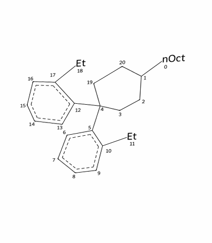 CCCCCCCCC1CCC(c2ccccc2CC)(c2ccccc2CC)CC1